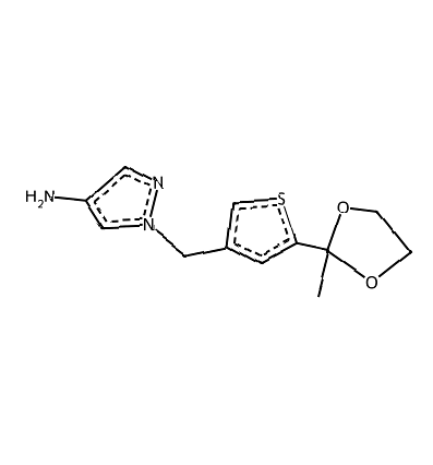 CC1(c2cc(Cn3cc(N)cn3)cs2)OCCO1